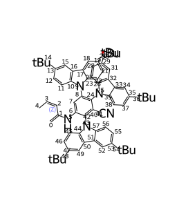 C=C(/C=C\C)Nc1cc(-n2c3ccc(C(C)(C)C)cc3c3cc(C(C)(C)C)ccc32)c(-n2c3ccc(C(C)(C)C)cc3c3cc(C(C)(C)C)ccc32)c(C#N)c1-n1c2ccc(C(C)(C)C)cc2c2cc(C(C)(C)C)ccc21